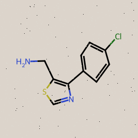 NCc1scnc1-c1ccc(Cl)cc1